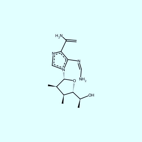 C=C(N)c1ncn([C@@H]2O[C@H]([C@H](C)O)[C@@H](C)[C@H]2C)c1/N=C\N